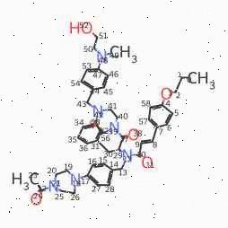 CCCOc1ccc(C=CC(=O)N(Cc2ccc(N3CCN(C(C)=O)CC3)cc2)[C@@H](Cc2ccccc2)C(=O)N2CCN(Cc3ccc(N(C)CCO)cc3)CC2)cc1